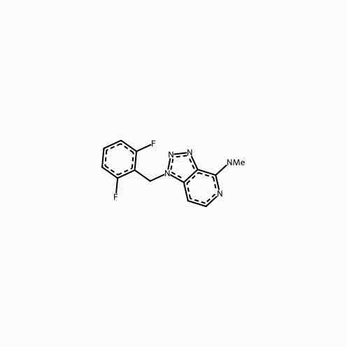 CNc1nccc2c1nnn2Cc1c(F)cccc1F